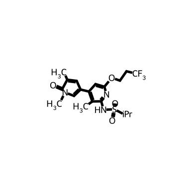 Cc1c(-c2cc(C)c(=O)n(C)c2)cc(OCCC(F)(F)F)nc1NS(=O)(=O)C(C)C